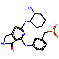 N[C@H]1CCCC[C@H]1Nc1cc2c(c(Nc3cccc(C[SH](=O)=O)c3)n1)C(=O)NC2